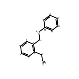 CC(C)Cc1[c]cccc1COc1ccccc1